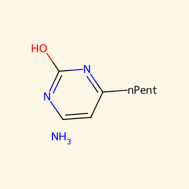 CCCCCc1ccnc(O)n1.N